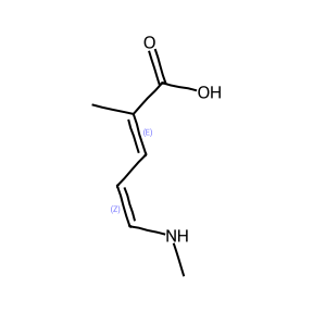 CN/C=C\C=C(/C)C(=O)O